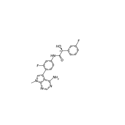 Cn1cc(-c2ccc(NC(=O)[C@@H](O)c3cccc(F)c3)cc2F)c2c(N)ncnc21